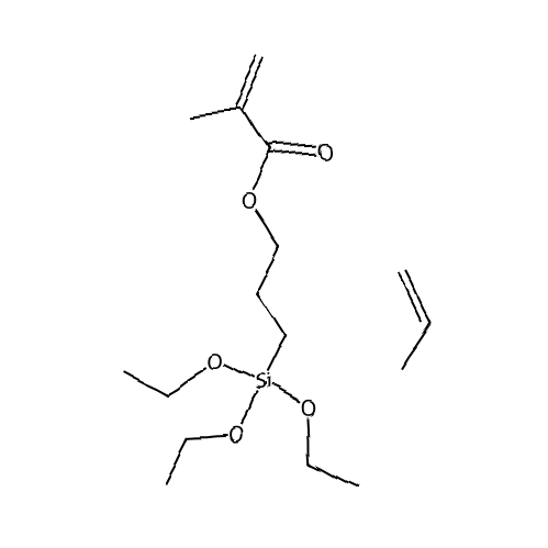 C=C(C)C(=O)OCCC[Si](OCC)(OCC)OCC.C=CC